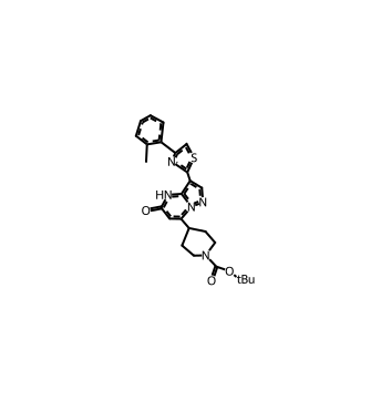 Cc1ccccc1-c1csc(-c2cnn3c(C4CCN(C(=O)OC(C)(C)C)CC4)cc(=O)[nH]c23)n1